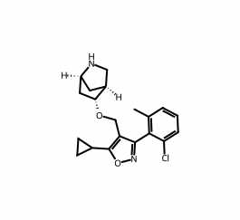 Cc1cccc(Cl)c1-c1noc(C2CC2)c1CO[C@@H]1C[C@@H]2C[C@H]1CN2